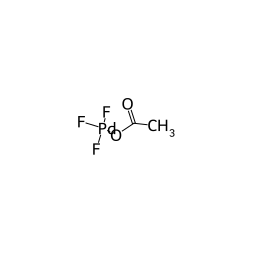 CC(=O)[O][Pd]([F])([F])[F]